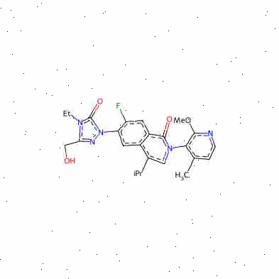 CCn1c(CO)nn(-c2cc3c(C(C)C)cn(-c4c(C)ccnc4OC)c(=O)c3cc2F)c1=O